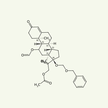 CC(=O)OCC(=O)[C@@]1(OCOCc2ccccc2)CC[C@H]2[C@@H]3CCC4=CC(=O)CC[C@]4(C)[C@H]3C(OC=O)C[C@@]21C